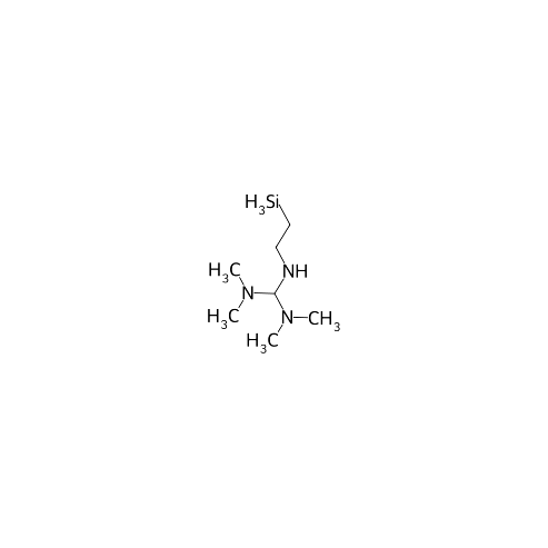 CN(C)C(NCC[SiH3])N(C)C